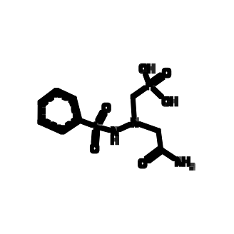 NC(=O)CN(CP(=O)(O)O)NS(=O)(=O)c1ccccc1